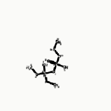 CC[PH](O)(OC)OP(=O)(O)OSC